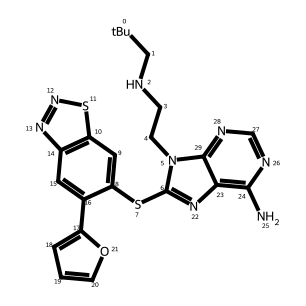 CC(C)(C)CNCCn1c(Sc2cc3snnc3cc2-c2ccco2)nc2c(N)ncnc21